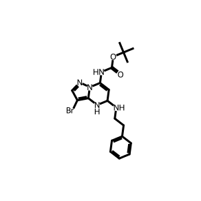 CC(C)(C)OC(=O)NC1=CC(NCCc2ccccc2)Nc2c(Br)cnn21